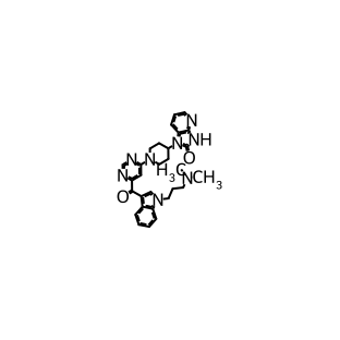 CN(C)CCCn1cc(C(=O)c2cc(N3CCC(n4c(=O)[nH]c5ncccc54)CC3)ncn2)c2ccccc21